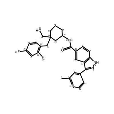 Cc1cc(-c2n[nH]c3ccc(C(=O)NC4CCCC(CO)(Cc5ccc(F)cc5F)C4)cc23)ccn1